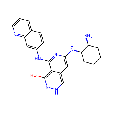 N[C@H]1CCCC[C@H]1Nc1cc2c(c(Nc3ccc4cccnc4c3)n1)=C(O)NNC=2